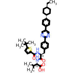 CC[C@H]1CC[C@H](c2ccc(-c3cnc(-c4ccc(C[C@H](NC(=O)c5ccc(C(C)(C)C)s5)C(=O)N[C@H](C(=O)O)C(C)C)cc4)nc3)cc2)CC1